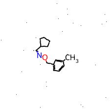 Cc1cccc(CO/N=[C]\C2CCCC2)c1